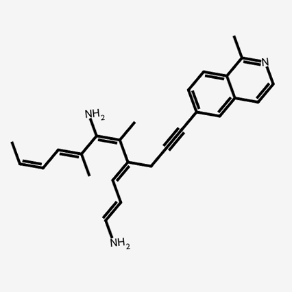 C\C=C/C=C(C)/C(N)=C(C)\C(=C\C=C\N)CC#Cc1ccc2c(C)nccc2c1